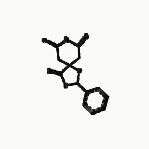 O=C1CC2(CC(=O)O1)OC(c1ccccc1)OC2=O